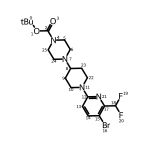 CC(C)(C)OC(=O)N1CCN(C2CCN(c3ccc(Br)c(C(F)F)n3)CC2)CC1